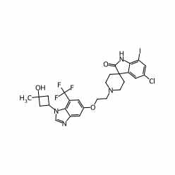 CC1(O)CC(n2cnc3cc(OCCN4CCC5(CC4)C(=O)Nc4c(I)cc(Cl)cc45)cc(C(F)(F)F)c32)C1